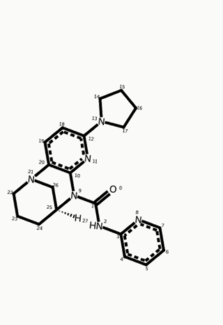 O=C(Nc1ccccn1)N1c2nc(N3CCCC3)ccc2N2CCC[C@H]1C2